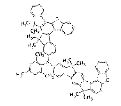 Cc1cc(C)c(N(c2ccc3c(c2)C(C)(C)c2cc4c(cc2-3)C(C)(C)c2ccc3oc5ccccc5c3c2-4)c2ccc3c(c2)C(C)(C)c2c4c(c5oc6ccccc6c5c2-3)-c2ccccc2C4(C)C)c(C)c1